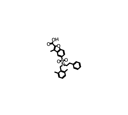 Cc1cccc(C)c1CN(CCc1ccccc1)S(=O)(=O)c1ccc2oc(C(=O)O)c(C)c2c1